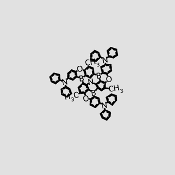 Cc1cc2c3c4c1Oc1ccc(N(c5ccccc5)c5ccccc5)cc1B4c1cc(C)c4c5c1N3c1c(cc(C)c3c1B2c1cc(N(c2ccccc2)c2ccccc2)ccc1O3)B5c1cc(N(c2ccccc2)c2ccccc2)ccc1O4